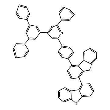 c1ccc(-c2cc(-c3ccccc3)cc(-c3cc(-c4ccc(-c5ccc(-c6cccc7sc8ccccc8c67)c6oc7ccccc7c56)cc4)nc(-c4ccccc4)n3)c2)cc1